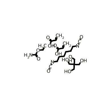 C=CC(=O)O.C=CC(=O)O.CCOC(N)=O.O=C=NCCCCCCN=C=O.OCC(CO)(CO)CO